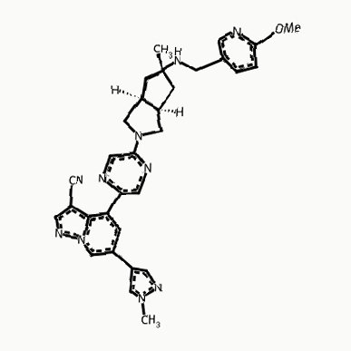 COc1ccc(CN[C@]2(C)C[C@H]3CN(c4cnc(-c5cc(-c6cnn(C)c6)cn6ncc(C#N)c56)cn4)C[C@H]3C2)cn1